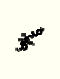 C=N[C@@]1(c2ccc3c(N)ncnn23)O[C@H](COC(=O)CC2CCC(F)(F)CC2)[C@@H](O)[C@H]1O